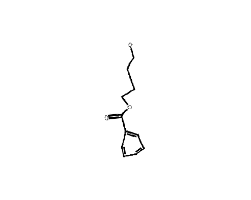 [O]CCCCOC(=O)c1ccccc1